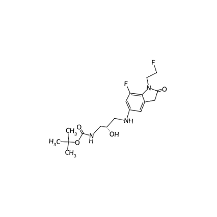 CC(C)(C)OC(=O)NC[C@@H](O)CNc1cc(F)c2c(c1)CC(=O)N2CCF